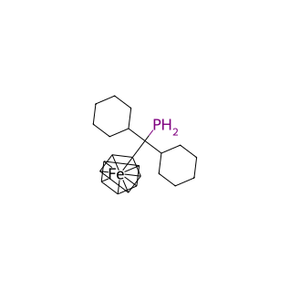 PC(C1CCCCC1)(C1CCCCC1)[C]12[CH]3[CH]4[CH]5[CH]1[Fe]45321678[CH]2[CH]1[CH]6[CH]7[CH]28